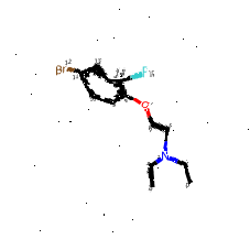 CCN(CC)CCOc1ccc(Br)cc1F